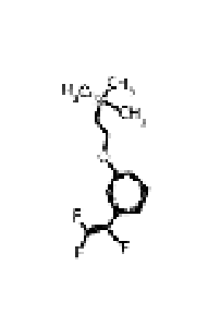 C[Si](C)(C)CCOc1cccc(C(F)=C(F)F)c1